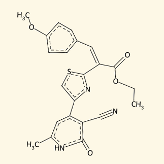 CCOC(=O)C(=Cc1ccc(OC)cc1)c1nc(-c2cc(C)[nH]c(=O)c2C#N)cs1